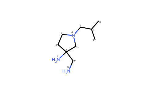 CC(C)CN1CCC(N)(CN)C1